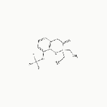 CCC1(CC)Oc2c(cccc2OC(F)(F)F)CC1=O